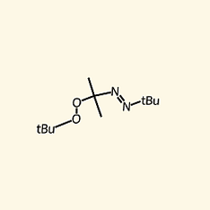 CC(C)(C)/N=N/C(C)(C)OOC(C)(C)C